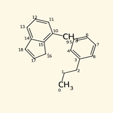 CCCc1cc[c]cc1.Cc1cccc2c1[CH]C=C2